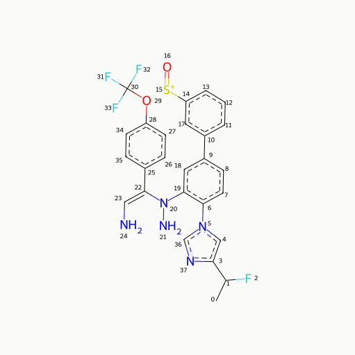 CC(F)c1cn(-c2ccc(-c3cccc([S+]=O)c3)cc2N(N)/C(=C\N)c2ccc(OC(F)(F)F)cc2)cn1